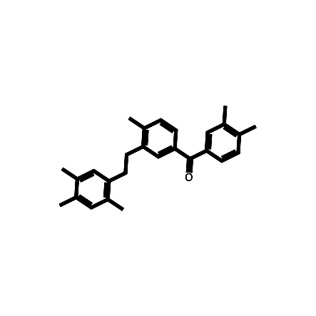 Cc1ccc(C(=O)c2ccc(C)c(CCc3cc(C)c(C)cc3C)c2)cc1C